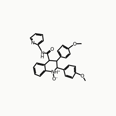 COc1ccc(C2C(C(=O)Nc3ccccn3)c3ccccc3[NH+]([O-])C2c2ccc(OC)cc2)cc1